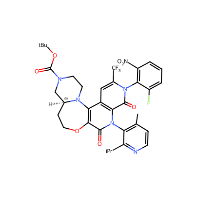 Cc1ccnc(C(C)C)c1-n1c(=O)c2c(c3cc(C(F)(F)F)n(-c4c(F)cccc4[N+](=O)[O-])c(=O)c31)N1CCN(C(=O)OC(C)(C)C)C[C@@H]1CCO2